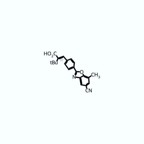 Cc1cc(C#N)cc2nc(-c3ccc(/C=C(/C(=O)O)C(C)(C)C)cc3)oc12